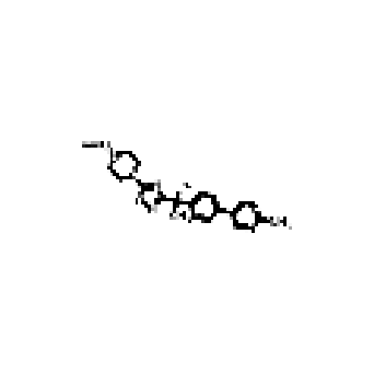 CON1CCN(c2nc(C(C)(c3ccc(-c4cnc(N)nc4)cc3)C(C)C)no2)CC1